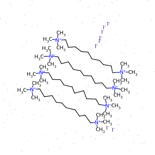 C[N+](C)(C)CCCCCCCCCC[N+](C)(C)C.C[N+](C)(C)CCCCCCCCCC[N+](C)(C)C.C[N+](C)(C)CCCCCCCCCC[N+](C)(C)C.C[N+](C)(C)CCCCCCCCCC[N+](C)(C)C.[I-].[I-].[I-].[I-].[I-].[I-].[I-].[I-]